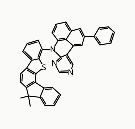 CC1(C)c2ccccc2-c2c1ccc1c2sc2c(N3c4ncncc4-c4cc(-c5ccccc5)cc5cccc3c45)cccc21